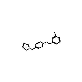 Cc1cccc(CCc2ccc(CN3CCCC3)cc2)c1